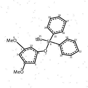 COc1cc(OC)cc(O[Si](c2ccccc2)(c2ccccc2)C(C)(C)C)c1